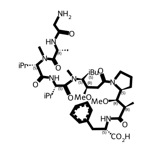 CC[C@H](C)[C@@H]([C@@H](CC(=O)N1CCC[C@H]1[C@H](OC)[C@@H](C)C(=O)N[C@@H](Cc1ccccc1)C(=O)O)OC)N(C)C(=O)[C@@H](NC(=O)[C@H](C(C)C)N(C)C(=O)[C@@H](C)NC(=O)CN)C(C)C